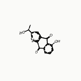 CC(O)c1cc2c(s1)C(=O)c1cccc(O)c1C2=O